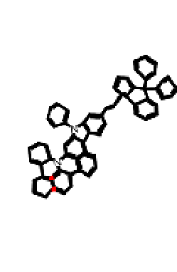 C1=CC(c2ccccc2N(c2ccc3c4ccc(/C=C/c5cccc6c5-c5ccccc5C6(c5ccccc5)c5ccccc5)cc4n(-c4ccccc4)c3c2)c2ccccc2-c2ccccc2)=CCC1